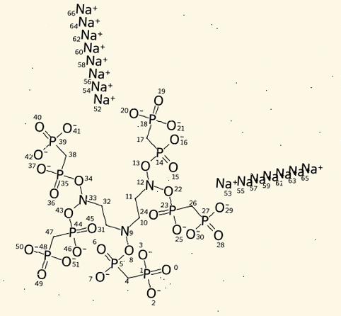 O=P([O-])([O-])CP(=O)([O-])ON(CCN(OP(=O)([O-])CP(=O)([O-])[O-])OP(=O)([O-])CP(=O)([O-])[O-])CCN(OP(=O)([O-])CP(=O)([O-])[O-])OP(=O)([O-])CP(=O)([O-])[O-].[Na+].[Na+].[Na+].[Na+].[Na+].[Na+].[Na+].[Na+].[Na+].[Na+].[Na+].[Na+].[Na+].[Na+].[Na+]